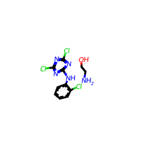 Clc1nc(Cl)nc(Nc2ccccc2Cl)n1.NCCO